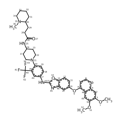 COc1cc2nccc(Oc3ccc4oc(Nc5ccc(N6CCC(NC(=O)CCC7CCCCN7C)CC6)c(C(F)(F)F)c5)nc4c3)c2cc1OC